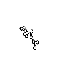 c1ccc(-n2c3ccccc3c3cc(-c4ccc5c(c4)c4ccccc4n5-c4cc5cc6oc7ccccc7c6c6ccc7cccc4c7c56)ccc32)cc1